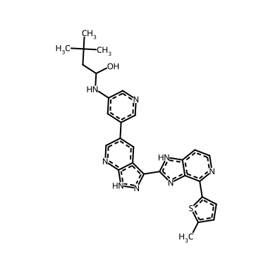 Cc1ccc(-c2nccc3[nH]c(-c4n[nH]c5ncc(-c6cncc(NC(O)CC(C)(C)C)c6)cc45)nc23)s1